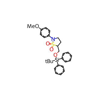 COc1ccc(N2CCC(CO[Si](c3ccccc3)(c3ccccc3)C(C)(C)C)S2(=O)=O)cc1